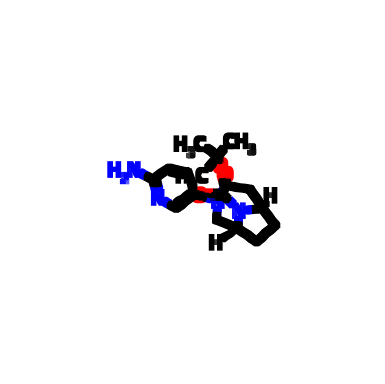 CC(C)(C)OC(=O)N1[C@@H]2CC[C@H]1CC(=O)N(c1ccc(N)nc1)C2